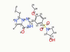 CCCc1nc(C)c2c(=O)[nH]c(-c3cc(S(=O)(=O)N4CCC(O)C4)ccc3OCC)nn12